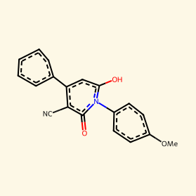 COc1ccc(-n2c(O)cc(-c3ccccc3)c(C#N)c2=O)cc1